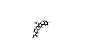 C=CC(=O)N1CCN(Cc2ccc(-c3ccccc3Cl)cc2O)CC1